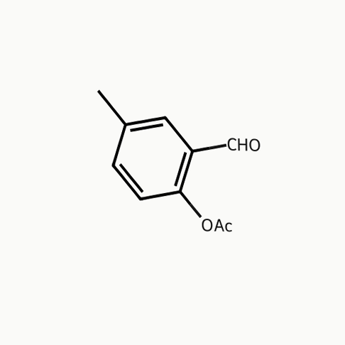 CC(=O)Oc1ccc(C)cc1C=O